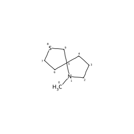 CN1CCCC12CCSC2